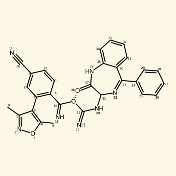 Cc1noc(C)c1-c1cc(C#N)ccc1C(=N)OC(=N)NC1N=C(c2ccccc2)c2ccccc2NC1=O